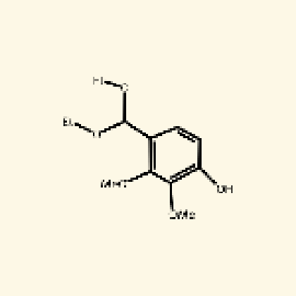 CCOC(OCC)c1ccc(O)c(OC)c1OC